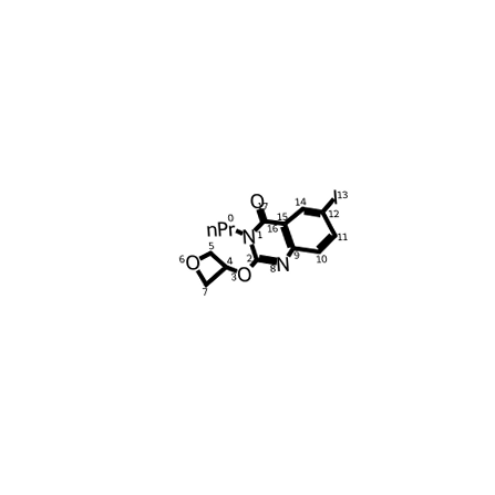 CCCn1c(OC2COC2)nc2ccc(I)cc2c1=O